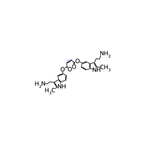 Cc1[nH]c2ccc(OC(=O)/C=C\C(=O)Oc3ccc4[nH]c(C)c(CCN)c4c3)cc2c1CCN